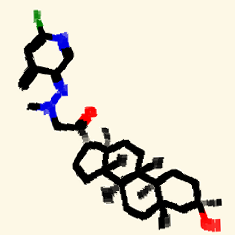 C=C1C=C(F)N=C/C1=N/N(C)CC(=O)[C@H]1CC[C@H]2[C@@H]3CC[C@H]4C[C@](C)(O)CC[C@]4(C)[C@H]3CC[C@]12C